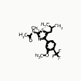 COc1cc(-c2nc(N(C)C(C)=O)sc2CC(C)C)ccc1C(F)(F)F